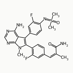 CC(=Cc1ccc(-c2c(-c3ccc(N=S(C)(C)=O)c(F)c3)c3c(N)ncnc3n2C)c(F)c1)C(N)=O